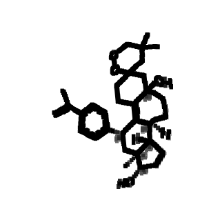 C=C(C)c1ccc([C@H]2C[C@]3(C)[C@@H](O)CC[C@H]3[C@@H]3CC[C@@]4(O)CC5(CCC4=C32)CC(C)(C)COO5)cc1